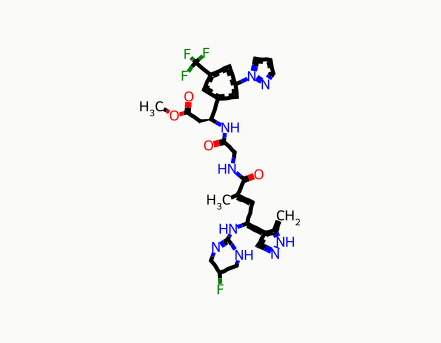 C=c1[nH]nc/c1=C(/C=C(\C)C(=O)NCC(=O)N[C@@H](CC(=O)OC)c1cc(-n2cccn2)cc(C(F)(F)F)c1)NC1=NCC(F)CN1